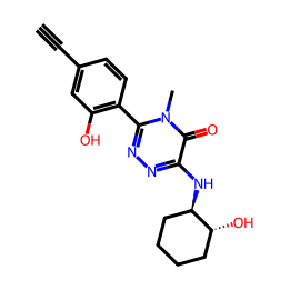 C#Cc1ccc(-c2nnc(N[C@@H]3CCCC[C@H]3O)c(=O)n2C)c(O)c1